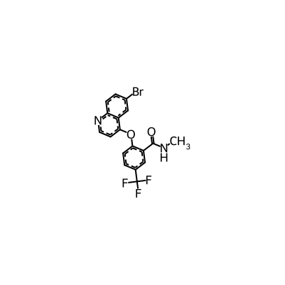 CNC(=O)c1cc(C(F)(F)F)ccc1Oc1ccnc2ccc(Br)cc12